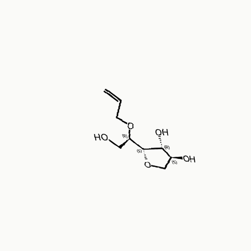 C=CCO[C@H](CO)[C@H]1OC[C@H](O)[C@H]1O